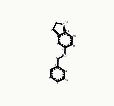 C1=c2cc(OCc3ccccc3)ccc2=NC1